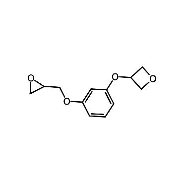 c1cc(OCC2CO2)cc(OC2COC2)c1